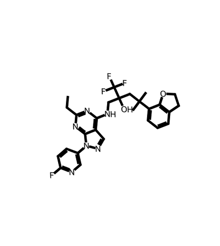 CCc1nc(NCC(O)(CC(C)(C)c2cccc3c2OCC3)C(F)(F)F)c2cnn(-c3ccc(F)nc3)c2n1